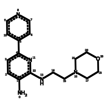 Nc1ccc(-c2ccncc2)nc1NCCN1CCOCC1